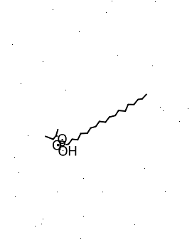 CCCCCCCCCCCCCCCCCCP(=O)(O)OC(C)CC